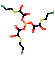 O=C(OP(OC(=O)C(O)SCCCl)OC(=O)C(O)SCCCl)C(O)SCCCl